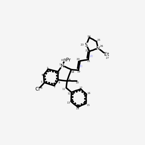 CCCN1c2ccc(Cl)cc2C(C)(Cc2ccccc2)C1/C=C/C=C1\SCCN1CC